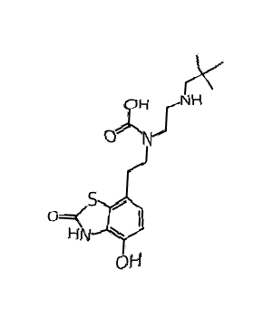 CC(C)(C)CNCCN(CCc1ccc(O)c2[nH]c(=O)sc12)C(=O)O